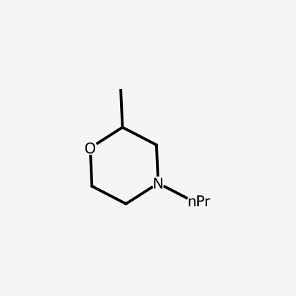 C[CH]CN1CCOC(C)C1